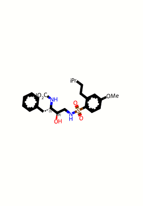 COc1ccc(S(=O)(=O)NC[C@@H](O)[C@H](Cc2ccccc2)NC(=O)O)c(CCC(C)C)c1